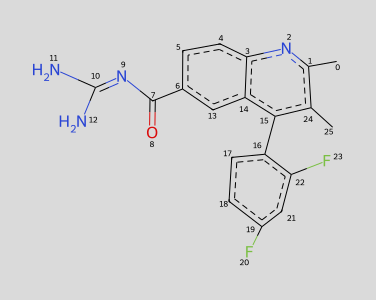 Cc1nc2ccc(C(=O)N=C(N)N)cc2c(-c2ccc(F)cc2F)c1C